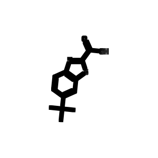 CC(C)(C)c1ccc2nc(C(=O)O)sc2c1